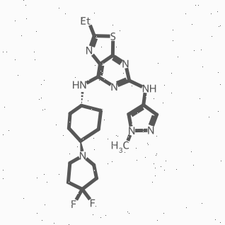 CCc1nc2c(N[C@H]3CC[C@H](N4CCC(F)(F)CC4)CC3)nc(Nc3cnn(C)c3)nc2s1